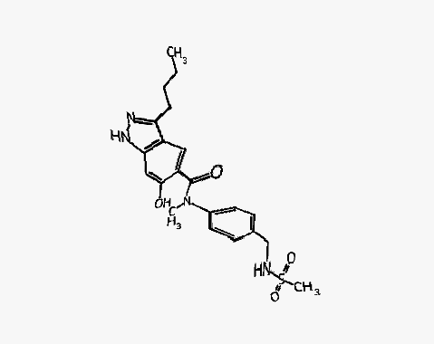 CCCCc1n[nH]c2cc(O)c(C(=O)N(C)c3ccc(CNS(C)(=O)=O)cc3)cc12